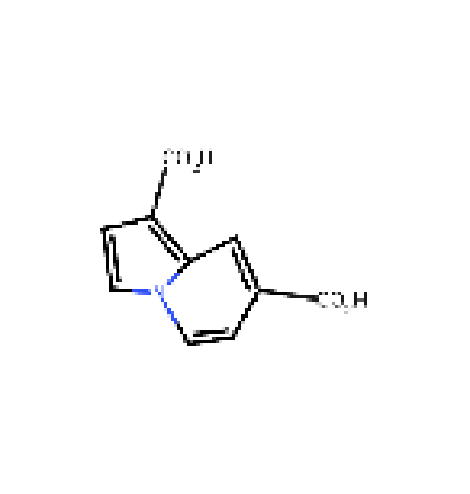 O=C(O)c1ccn2ccc(C(=O)O)c2c1